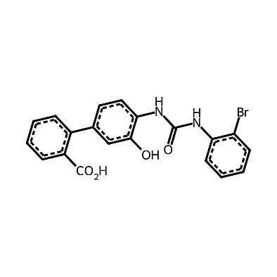 O=C(Nc1ccc(-c2ccccc2C(=O)O)cc1O)Nc1ccccc1Br